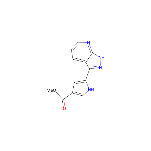 COC(=O)c1c[nH]c(-c2n[nH]c3ncccc23)c1